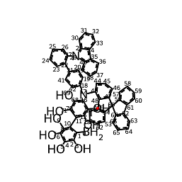 Bc1c(O)c(O)c(O)c(O)c1-c1c(O)c(O)c(N(c2ccc(-c3ccccc3-n3c4ccccc4c4ccccc43)cc2)c2cccc3c2-c2ccccc2C32c3ccccc3-c3ccccc32)c(O)c1O